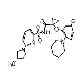 O=C(NS(=O)(=O)c1cccc(N2CC[C@H](O)C2)n1)C1(Oc2cc(Cl)ccc2N2CCCCC2)CC1